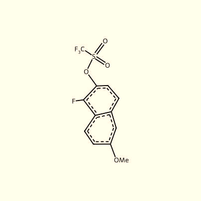 COc1ccc2c(F)c(OS(=O)(=O)C(F)(F)F)ccc2c1